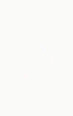 CN1CCC2C=CC(O)=CC2C2c3ccccc3OCC21